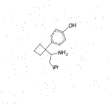 CC(C)CC(N)C1(c2ccc(O)cc2)CCC1